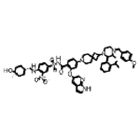 COc1ccc(CN2CCN(C3CC4(CCN(c5ccc(C(=O)NS(=O)(=O)c6ccc(NC[C@H]7CC[C@](C)(O)CC7)c([N+](=O)[O-])c6)c(Oc6cnc7[nH]ccc7c6)c5)CC4)C3)C(c3ccccc3C(C)C)C2C)cc1